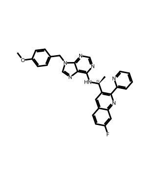 COc1ccc(Cn2cnc3c(N[C@@H](C)c4cc5ccc(F)cc5nc4-c4ccccn4)ncnc32)cc1